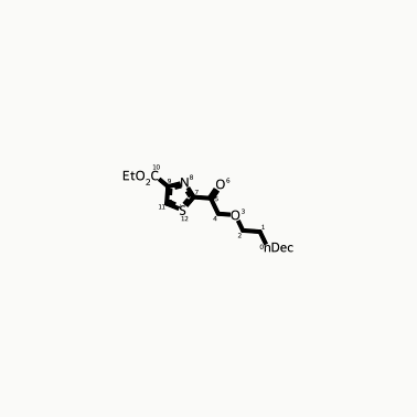 CCCCCCCCCCCCOCC(=O)c1nc(C(=O)OCC)cs1